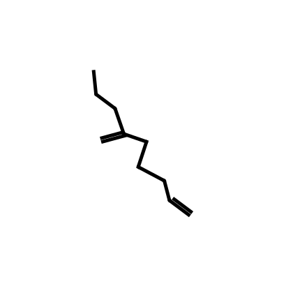 C=CCCCC(=C)CCC